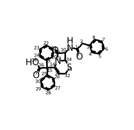 O=C(Cc1ccccc1)NC1C(=O)N2C(C(C(=O)O)(c3ccccc3)c3ccccc3)=CCSC12